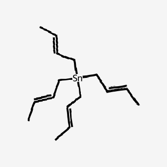 C/C=C/[CH2][Sn]([CH2]/C=C/C)([CH2]/C=C/C)[CH2]/C=C/C